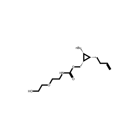 C=CCC[C@H]1[C@@H](CCCC)[C@H]1COC(=O)NCCOCCO